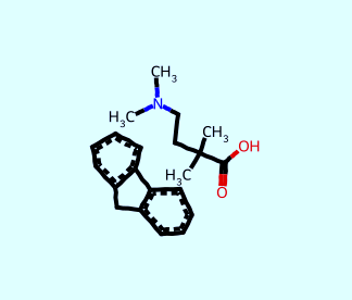 CN(C)CCC(C)(C)C(=O)O.c1ccc2c(c1)Cc1ccccc1-2